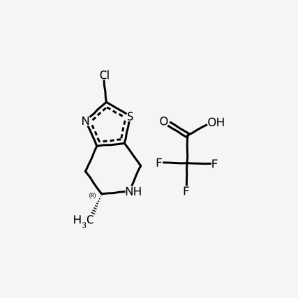 C[C@@H]1Cc2nc(Cl)sc2CN1.O=C(O)C(F)(F)F